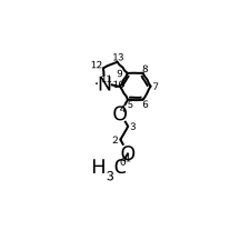 COCCOc1cccc2c1[N]CC2